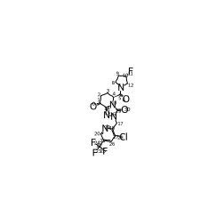 O=C1CC[C@@H](C(=O)N2CC[C@H](F)C2)n2c1nn(Cc1ncc(C(F)(F)F)cc1Cl)c2=O